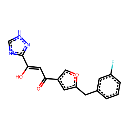 O=C(C=C(O)c1nc[nH]n1)c1coc(Cc2cccc(F)c2)c1